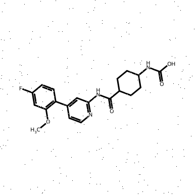 COc1cc(F)ccc1-c1ccnc(NC(=O)C2CCC(NC(=O)O)CC2)c1